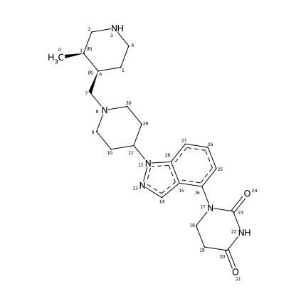 C[C@H]1CNCC[C@H]1CN1CCC(n2ncc3c(N4CCC(=O)NC4=O)cccc32)CC1